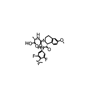 COc1ccc2c(c1)CCN(C(=O)N[C@H](C)C(=O)O)[C@H]2C(=O)Nc1cc(F)c(S(C)(C)C)c(F)c1